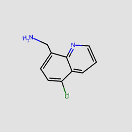 NCc1ccc(Cl)c2cccnc12